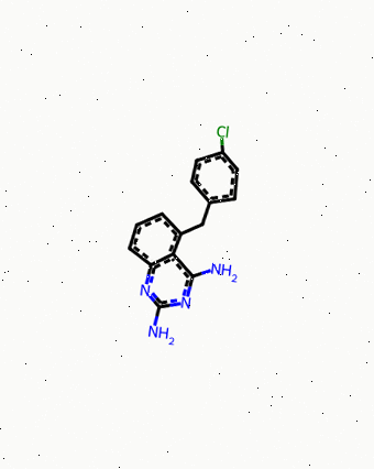 Nc1nc(N)c2c(Cc3ccc(Cl)cc3)cccc2n1